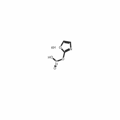 O=[PH](O)Oc1ncco1.[KH]